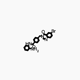 Nc1ccccc1NC(=O)c1ccc(Cn2cnc3ccc(Br)cc3c2=O)cc1